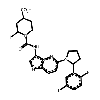 O=C(O)C1CCN(C(=O)Nc2cnc3ccc(N4CCCC4c4cc(F)ccc4F)nn23)C(I)C1